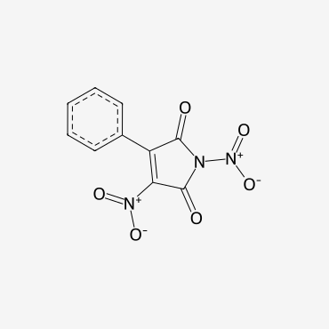 O=C1C(c2ccccc2)=C([N+](=O)[O-])C(=O)N1[N+](=O)[O-]